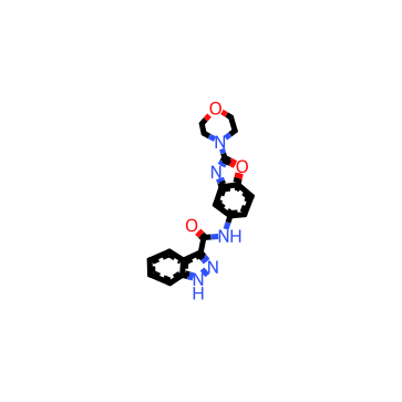 O=C(Nc1ccc2oc(N3CCOCC3)nc2c1)c1n[nH]c2ccccc12